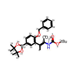 C/C(=C(\NC(=O)OC(C)(C)C)C(=O)O)c1cc(B2OC(C)(C)C(C)(C)O2)ccc1OCc1ccccc1